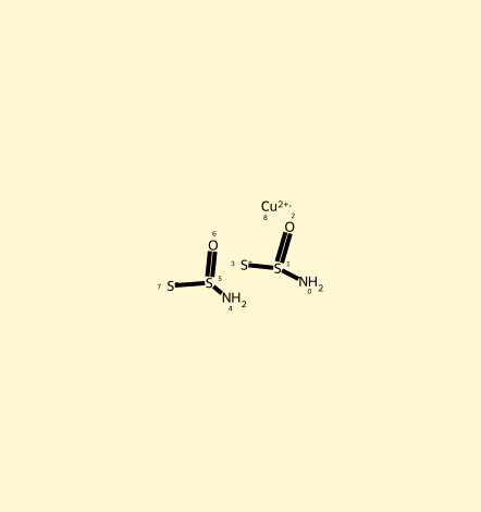 NS(=O)[S-].NS(=O)[S-].[Cu+2]